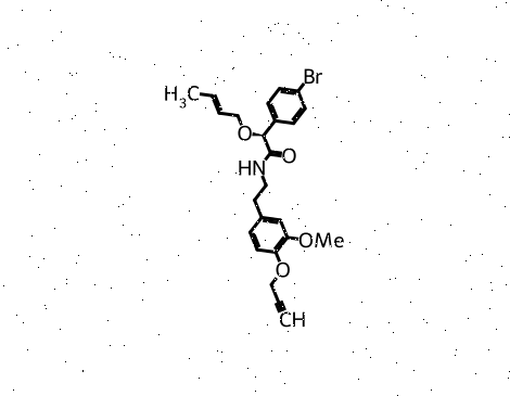 C#CCOc1ccc(CCNC(=O)[C@@H](OCC=CC)c2ccc(Br)cc2)cc1OC